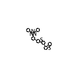 c1ccc(-c2nc(-c3ccccc3)nc(-c3cccc(-c4ccc5c(c4)sc4ccc(-c6cccc7sc8ccccc8c67)cc45)c3)n2)cc1